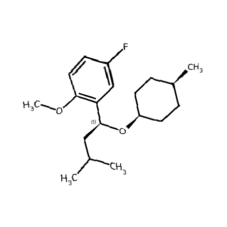 COc1ccc(F)cc1[C@H](CC(C)C)O[C@H]1CC[C@@H](C)CC1